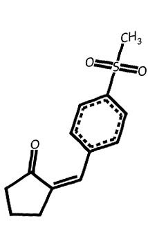 CS(=O)(=O)c1ccc(C=C2CCCC2=O)cc1